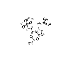 C=CC(=O)Oc1nccn1CCC[Si](OC)(OC)OC.OB(O)O